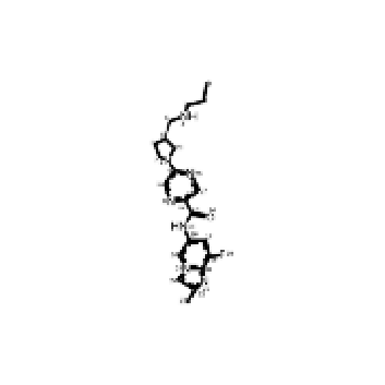 CCCNC[C@@H]1CCN(c2cnc(C(=O)Nc3cc(F)c4nc(C)cn4c3)cn2)C1